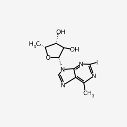 Cc1nc(I)nc2c1ncn2[C@@H]1O[C@H](C)[C@H](O)C1O